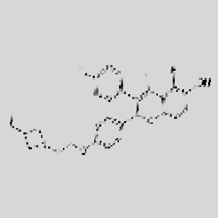 CCC1CN(CCOc2ccc(C3Oc4ccc(O)c(F)c4C(C)=C3c3ccc(F)cc3)cc2)C1